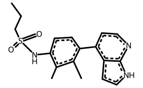 CCCS(=O)(=O)Nc1ccc(-c2ccnc3[nH]ccc23)c(C)c1C